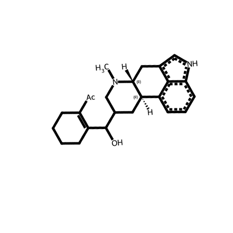 CC(=O)C1=C(C(O)C2C[C@@H]3c4cccc5[nH]cc(c45)C[C@H]3N(C)C2)CCCC1